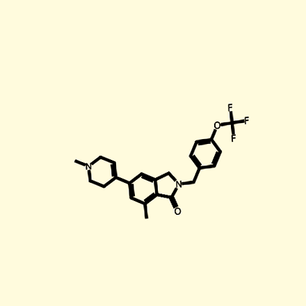 Cc1cc(C2=CCN(C)CC2)cc2c1C(=O)N(Cc1ccc(OC(F)(F)F)cc1)C2